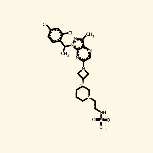 Cc1nn(C(C)c2ccc(Cl)cc2Cl)c2nc(N3CC([C@@H]4CCCN(CCNS(C)(=O)=O)C4)C3)cnc12